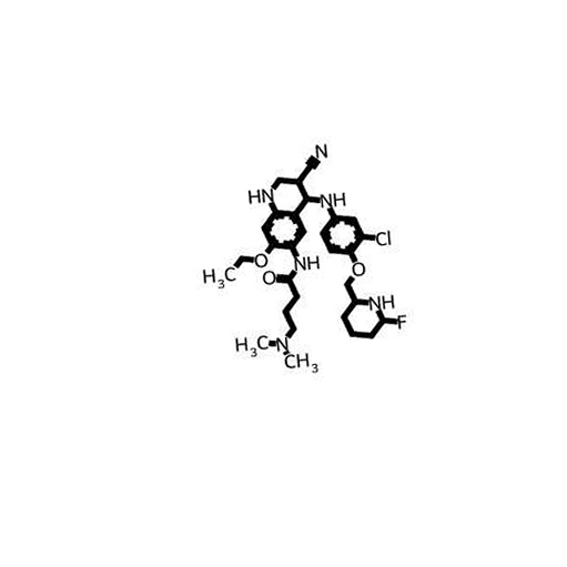 CCOc1cc2c(cc1NC(=O)CCCN(C)C)C(Nc1ccc(OCC3CCCC(F)N3)c(Cl)c1)C(C#N)CN2